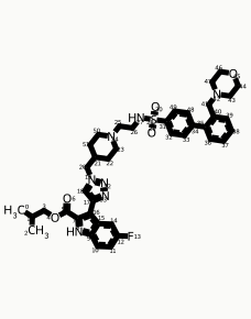 CC(C)COC(=O)c1[nH]c2ccc(F)cc2c1-c1cn(CC2CCN(CCNS(=O)(=O)c3ccc(-c4ccccc4CN4CCOCC4)cc3)CC2)nn1